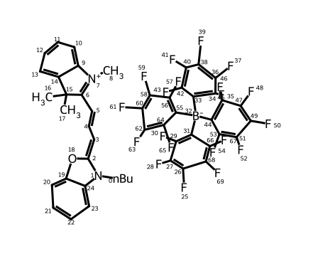 CCCCN1/C(=C/C=C/C2=[N+](C)c3ccccc3C2(C)C)Oc2ccccc21.Fc1c(F)c(F)c([B-](c2c(F)c(F)c(F)c(F)c2F)(c2c(F)c(F)c(F)c(F)c2F)c2c(F)c(F)c(F)c(F)c2F)c(F)c1F